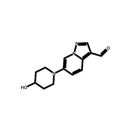 O=Cc1cnn2cc(N3CCC(O)CC3)ccc12